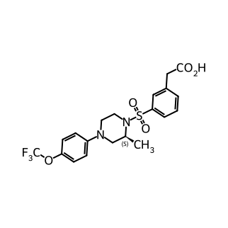 C[C@H]1CN(c2ccc(OC(F)(F)F)cc2)CCN1S(=O)(=O)c1cccc(CC(=O)O)c1